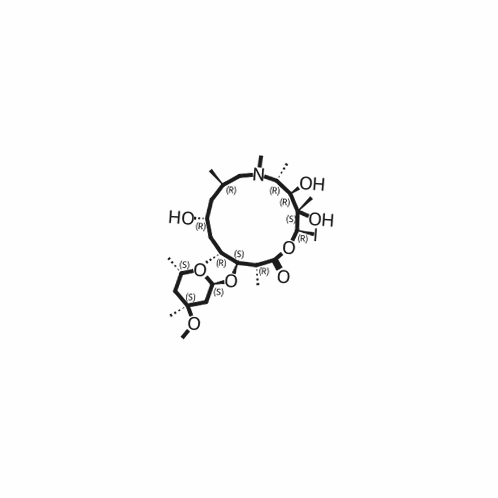 CO[C@]1(C)C[C@H](O[C@H]2[C@H](C)C[C@H](O)C[C@@H](C)CN(C)[C@H](C)[C@@H](O)[C@](C)(O)[C@@H](I)OC(=O)[C@@H]2C)O[C@@H](C)C1